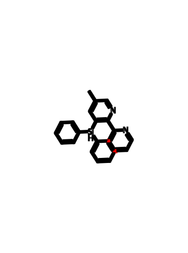 Cc1cnc(-c2ccccn2)c([SiH](c2ccccc2)c2ccccc2)c1